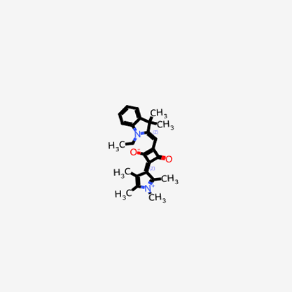 CCN1/C(=C\C2=C([O-])C(=C3\C(C)=C(C)[N+](C)=C3C)/C2=O)C(C)(C)c2ccccc21